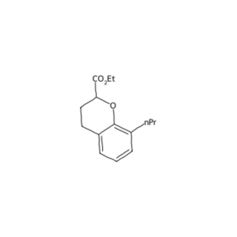 CCCc1cccc2c1OC(C(=O)OCC)CC2